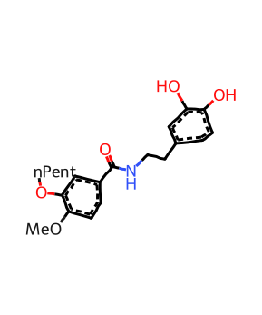 CCCCCOc1cc(C(=O)NCCc2ccc(O)c(O)c2)ccc1OC